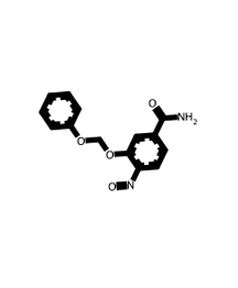 NC(=O)c1ccc(N=O)c(OCOc2ccccc2)c1